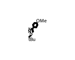 COc1ccc(-c2cn(CCC(C)(C)C)nn2)cc1